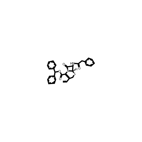 C=CC1=C(C(=O)OC(c2ccccc2)c2ccccc2)N2C(=O)C(NC(=O)Cc3ccccc3)[C@@H]2SC1